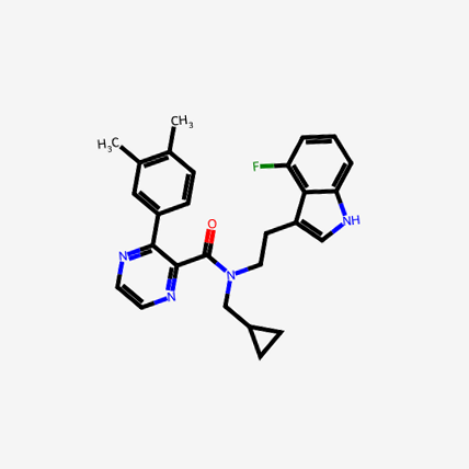 Cc1ccc(-c2nccnc2C(=O)N(CCc2c[nH]c3cccc(F)c23)CC2CC2)cc1C